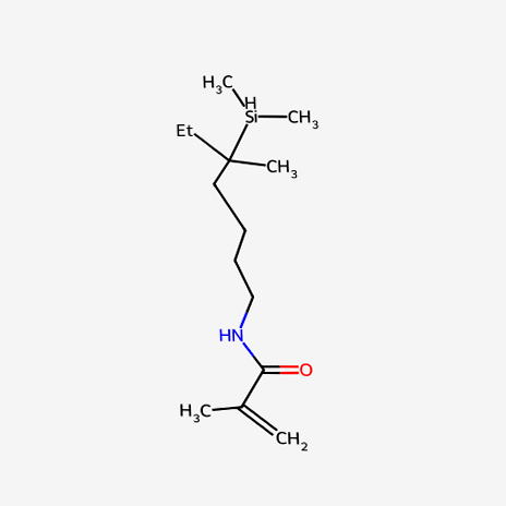 C=C(C)C(=O)NCCCCC(C)(CC)[SiH](C)C